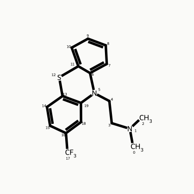 CN(C)CCN1c2ccccc2Sc2ccc(C(F)(F)F)cc21